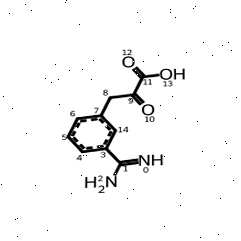 N=C(N)c1cccc(CC(=O)C(=O)O)c1